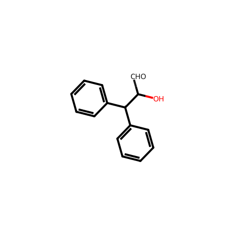 O=CC(O)[C](c1ccccc1)c1ccccc1